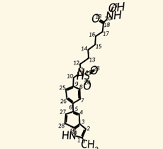 Cc1cc2cc(-c3ccc(CN(CCCCCCC(=O)NO)[SH](=O)=O)cc3)ccc2[nH]1